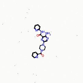 Nc1ncc(N2CCN(C(=O)c3ccccn3)CC2)nc1C(=O)Nc1ccccn1